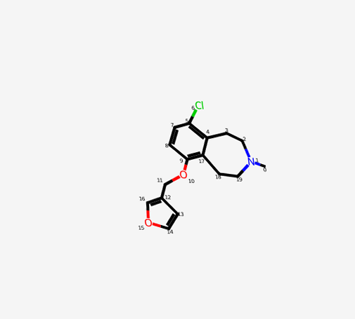 CN1CCc2c(Cl)ccc(OCc3ccoc3)c2CC1